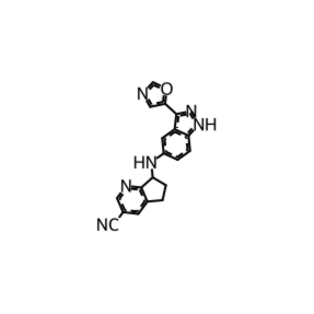 N#Cc1cnc2c(c1)CCC2Nc1ccc2[nH]nc(-c3cnco3)c2c1